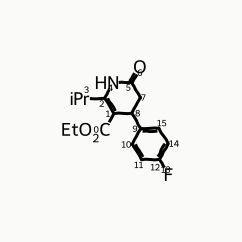 CCOC(=O)C1=C(C(C)C)NC(=O)CC1c1ccc(F)cc1